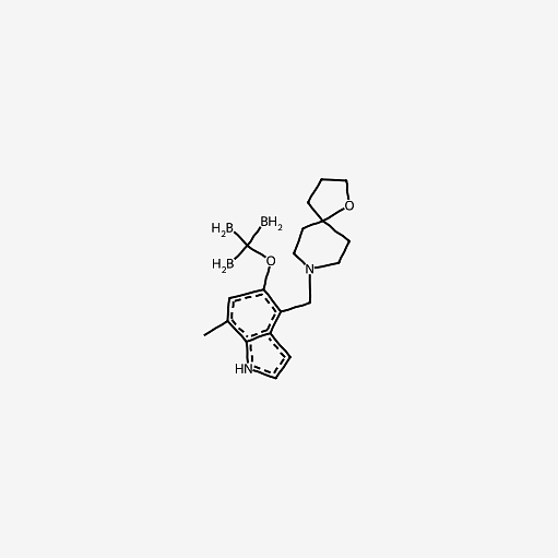 BC(B)(B)Oc1cc(C)c2[nH]ccc2c1CN1CCC2(CCCO2)CC1